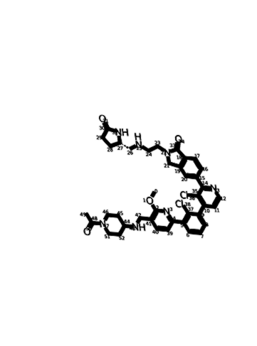 COc1nc(-c2cccc(-c3ccnc(-c4ccc5c(c4)CN(CCNC[C@@H]4CCC(=O)N4)C5=O)c3Cl)c2Cl)ccc1CNC1CCN(C(C)=O)CC1